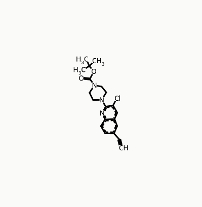 C#Cc1ccc2nc(N3CCN(C(=O)OC(C)(C)C)CC3)c(Cl)cc2c1